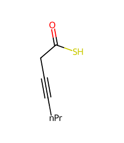 CCCC#CCC(=O)S